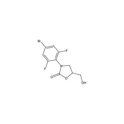 O=C1OC(CO)CN1c1c(F)cc(Br)cc1F